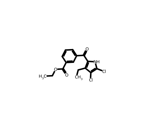 CCOC(=O)c1cccc(C(=O)c2[nH]c(Cl)c(Cl)c2CC)c1